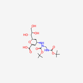 CC(C)(C)OC(=O)NCN(N[C@H]1C=C(C(=O)O)O[C@@H]([C@H](O)[C@H](O)CO)C1)C(=O)OC(C)(C)C